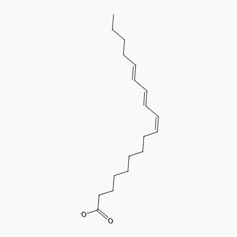 CCCC/C=C/C=C/C=C\CCCCCCCC([O])=O